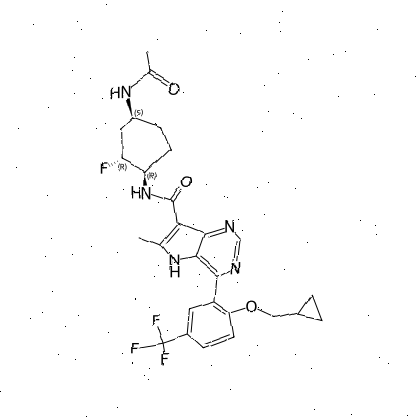 CC(=O)N[C@H]1CC[C@@H](NC(=O)c2c(C)[nH]c3c(-c4cc(C(F)(F)F)ccc4OCC4CC4)ncnc23)[C@H](F)C1